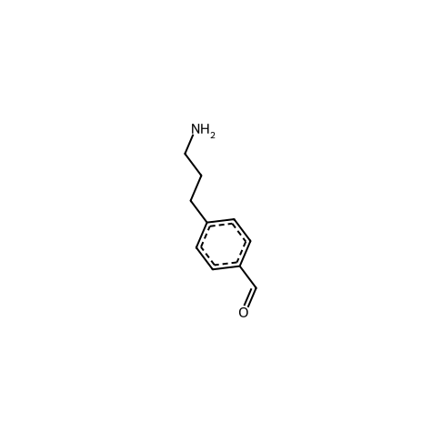 NCCCc1ccc(C=O)cc1